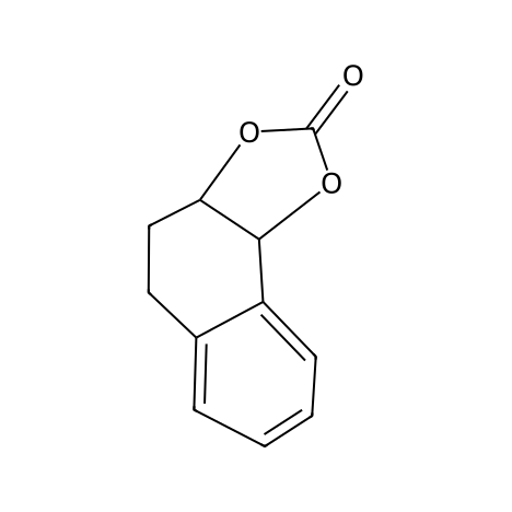 O=C1OC2CCc3ccccc3C2O1